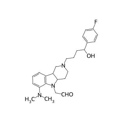 CN(C)c1cccc2c1N(CC=O)C1CCN(CCCC(O)c3ccc(F)cc3)CC21